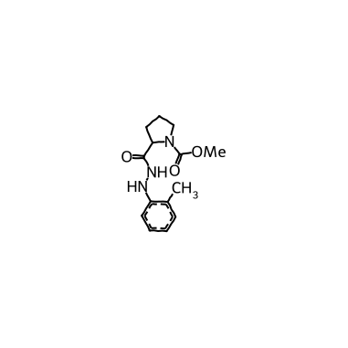 COC(=O)N1CCCC1C(=O)NNc1ccccc1C